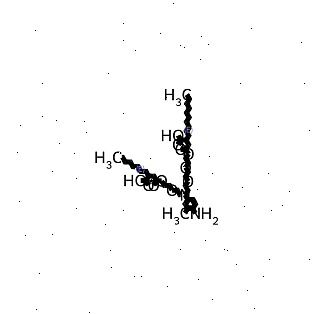 CCCCC/C=C/CC(CC(=O)OCCOCCN(CCOCCOCCOC(=O)CC(C/C=C/CCCCCCC)C(=O)O)c1ccc(N)c(C)c1)C(=O)O